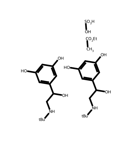 CC(C)(C)NCC(O)c1cc(O)cc(O)c1.CC(C)(C)NCC(O)c1cc(O)cc(O)c1.CCOC(C)=O.O=S(=O)(O)O